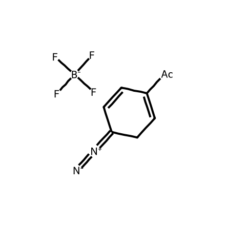 CC(=O)C1=CCC(=[N+]=[N-])C=C1.F[B-](F)(F)F